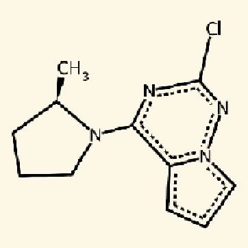 C[C@@H]1CCCN1c1nc(Cl)nn2cccc12